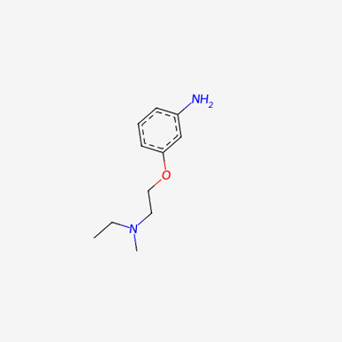 CCN(C)CCOc1cccc(N)c1